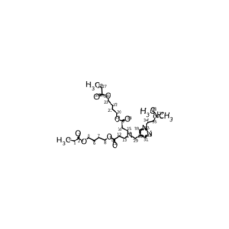 CCC(=O)OCCCCOC(=O)CCN(CCC(=O)OCCCCOC(=O)CC)Cc1cnn(CCN(C)C)c1